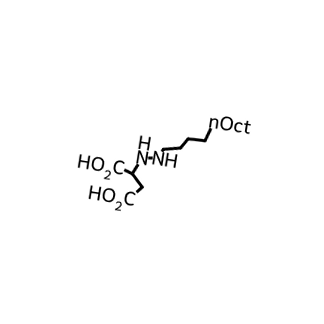 CCCCCCCCCCCCNNC(CC(=O)O)C(=O)O